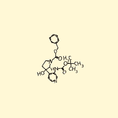 CC(C)(C)OC(=O)Nc1cnccc1C1(O)CCN(C(=O)OCc2ccccc2)C1